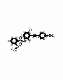 Nc1ncc(C#Cc2c(F)ccc(NS(=O)(=O)c3ccccc3OC(F)(F)F)c2F)cn1